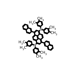 Cc1ccc(N(c2ccc(C)c(C)c2)c2cc(-c3ccc4ccccc4c3)c3ccc4c(N(c5ccc(C)c(C)c5)c5ccc(C)c(C)c5)cc(-c5ccc6ccccc6c5)c5ccc2c3c54)cc1C